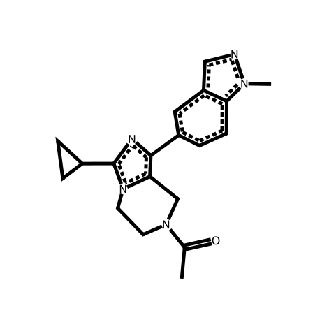 CC(=O)N1CCn2c(C3CC3)nc(-c3ccc4c(cnn4C)c3)c2C1